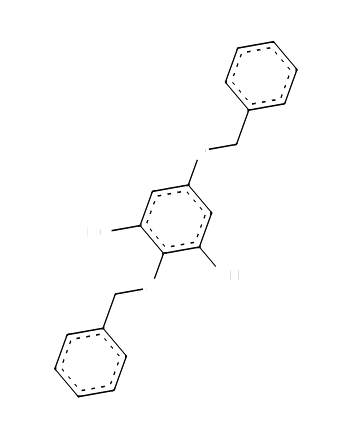 O=Cc1cc(OCc2ccccc2)cc(C=O)c1OCc1ccccc1